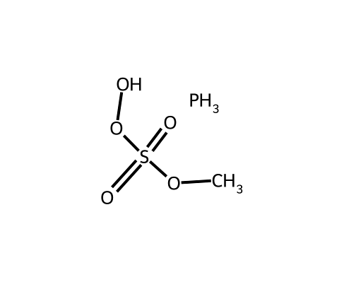 COS(=O)(=O)OO.P